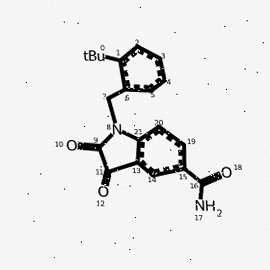 CC(C)(C)c1ccccc1CN1C(=O)C(=O)c2cc(C(N)=O)ccc21